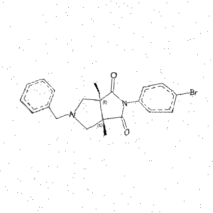 C[C@@]12CN(Cc3ccccc3)C[C@]1(C)C(=O)N(c1ccc(Br)cc1)C2=O